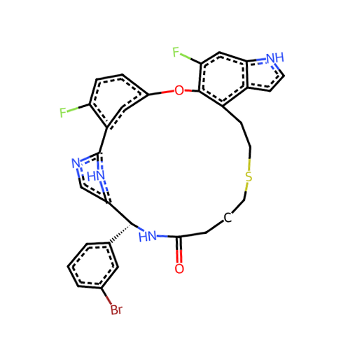 O=C1CCCSCCc2c(c(F)cc3[nH]ccc23)Oc2ccc(F)c(c2)-c2ncc([nH]2)[C@@H](c2cccc(Br)c2)N1